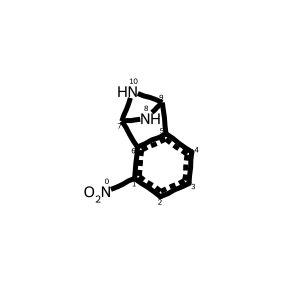 O=[N+]([O-])c1cccc2c1C1NC2N1